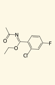 CCOC(=NC(C)=O)c1ccc(F)cc1Cl